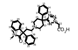 CN(C)C(=O)C(CCN1CCC(c2ccccc2)(c2nnn(CC(=O)O)n2)CC1)(c1ccccc1)c1ccccc1